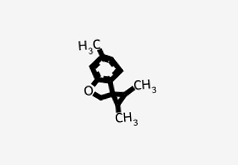 Cc1ccc2c(c1)OCC21C(C)C1C